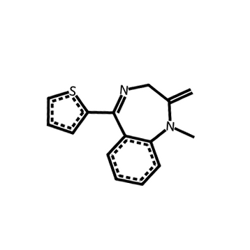 C=C1CN=C(c2cccs2)c2ccccc2N1C